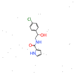 O=C(NCC(O)c1ccc(Cl)cc1)c1ccc[nH]1